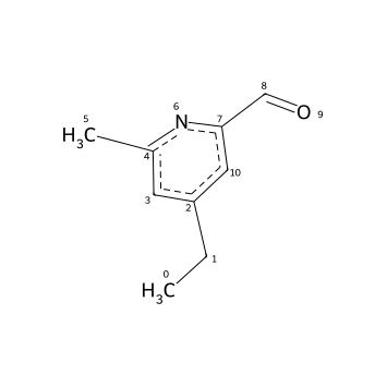 CCc1cc(C)nc(C=O)c1